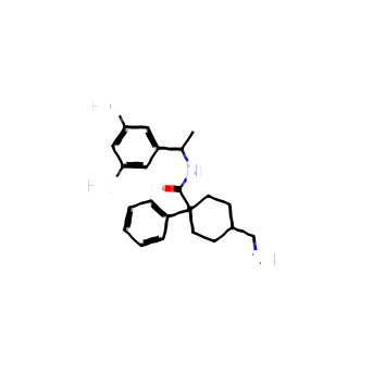 CC(NC(=O)C1(c2ccccc2)CCC(CN)CC1)c1cc(C(F)(F)F)cc(C(F)(F)F)c1